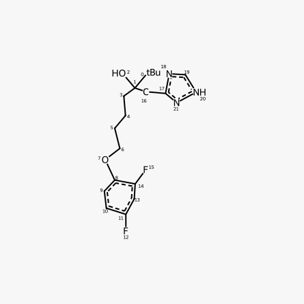 CC(C)(C)C(O)(CCCCOc1ccc(F)cc1F)Cc1nc[nH]n1